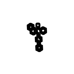 O=C(C1CCCCC1)N1c2ccccc2CCC1CN1CCN(c2ccccc2)CC1